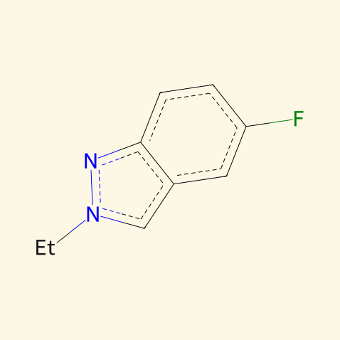 CCn1cc2cc(F)ccc2n1